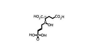 O=C(O)CC[C@@H](C(=O)O)N(O)CC=CP(=O)(O)O